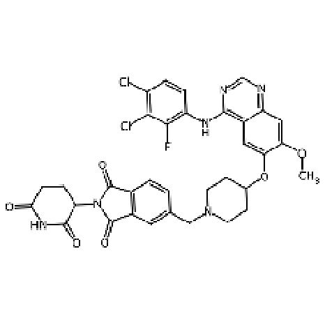 COc1cc2ncnc(Nc3ccc(Cl)c(Cl)c3F)c2cc1OC1CCN(Cc2ccc3c(c2)C(=O)N(C2CCC(=O)NC2=O)C3=O)CC1